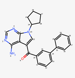 Nc1ncnc2c1c(C(=O)c1cccc(-c3ccccc3)c1)cn2C1CCCC1